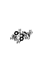 CC(C)c1ccc(-c2nc(NC(C)(C)CO)cnc2C(=O)Nc2cccc(S(=O)(=O)NC(C)(C)C)c2)cc1